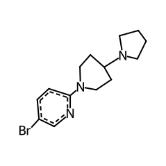 Brc1ccc(N2CCC(N3CCCC3)CC2)nc1